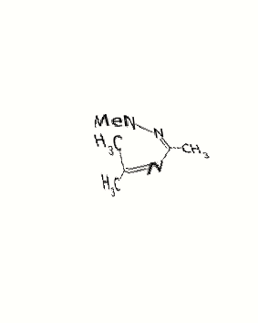 CN/N=C(/C)N=C(C)C